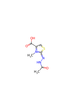 CC(=O)NN=c1scc(C(=O)O)n1C